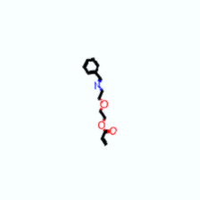 C=CC(=O)OCCOCCN=Cc1ccccc1